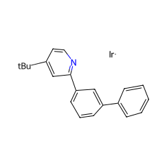 CC(C)(C)c1ccnc(-c2cccc(-c3ccccc3)c2)c1.[Ir]